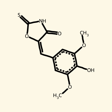 COc1cc(C=C2OC(=S)NC2=O)cc(OC)c1O